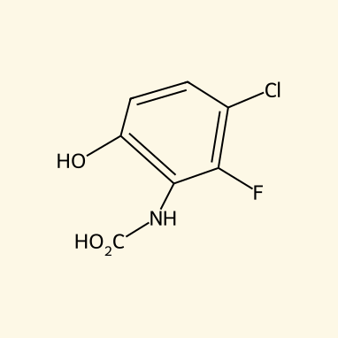 O=C(O)Nc1c(O)ccc(Cl)c1F